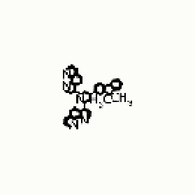 CC1(C)c2ccccc2-c2ccc(-c3cc(-c4ccnc5c4ccc4cccnc45)nc(-c4ccnc5c4ccc4cccnc45)c3)cc21